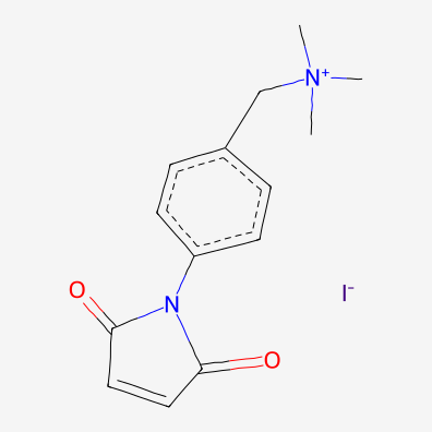 C[N+](C)(C)Cc1ccc(N2C(=O)C=CC2=O)cc1.[I-]